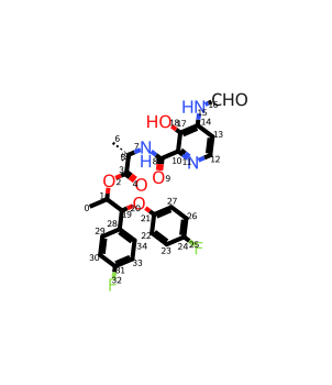 CC(OC(=O)[C@H](C)NC(=O)c1nccc(NC=O)c1O)C(Oc1ccc(F)cc1)c1ccc(F)cc1